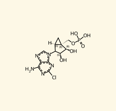 Nc1nc(Cl)nc2c1ncn2C1[C@H]2C[C@@]2(COP(=O)(O)O)[C@@H](O)[C@H]1O